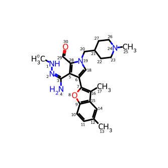 CN/N=C(/N)c1c(-c2oc3ccc(C)cc3c2C)cn(CC2CCN(C)CC2)c1C=O